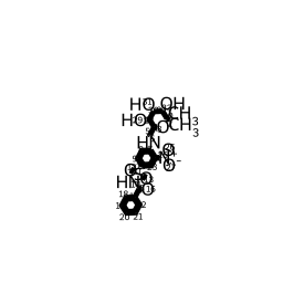 CC1(C)OC(CNc2ccc(S(=O)(=O)NC(=O)c3ccccc3)cc2[N+](=O)[O-])C(O)C(O)C1O